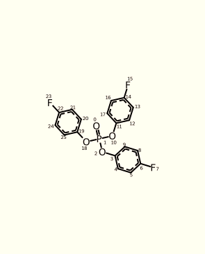 O=P(Oc1ccc(F)cc1)(Oc1ccc(F)cc1)Oc1ccc(F)cc1